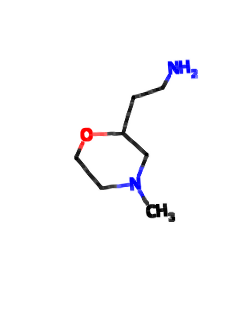 CN1CCOC(CCN)C1